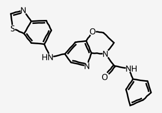 O=C(Nc1ccccc1)N1CCOc2cc(Nc3ccc4ncsc4c3)cnc21